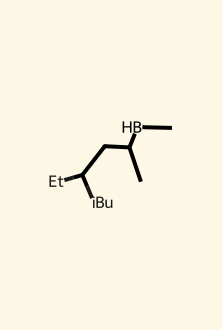 CBC(C)CC(CC)C(C)CC